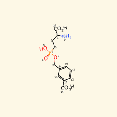 NC(CCP(=O)(O)OCc1cccc(C(=O)O)c1)C(=O)O